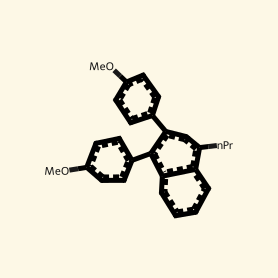 CCCc1[c]c(-c2ccc(OC)cc2)c(-c2ccc(OC)cc2)c2ccccc12